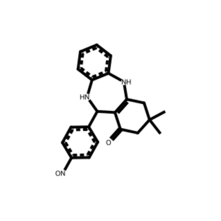 CC1(C)CC(=O)C2=C(C1)Nc1ccccc1NC2c1ccc(N=O)cc1